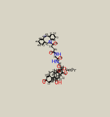 CCCC1O[C@@H]2C[C@H]3[C@@H]4CCC5=CC(=O)C=C[C@]5(C)[C@H]4[C@@H](O)C[C@]3(C)[C@]2(C(=O)COCNC(=O)CNC(=O)CCC(=O)N2Cc3ccccc3/C=C\c3ccccc32)O1